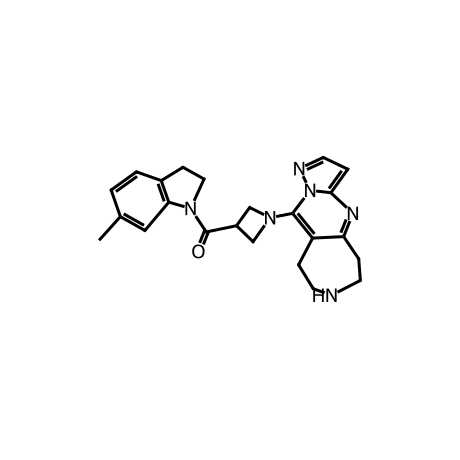 Cc1ccc2c(c1)N(C(=O)C1CN(c3c4c(nc5ccnn35)CCNCC4)C1)CC2